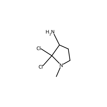 CN1CCC(N)C1(Cl)Cl